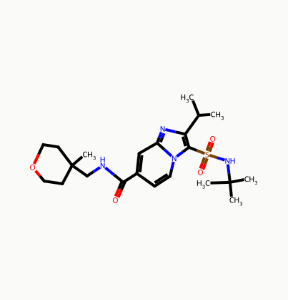 CC(C)c1nc2cc(C(=O)NCC3(C)CCOCC3)ccn2c1S(=O)(=O)NC(C)(C)C